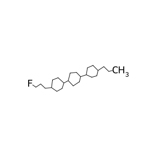 CCCC1CCC(C2CCC(C3CCC(CCCF)CC3)CC2)CC1